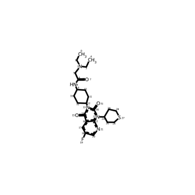 CCN(CC)CC(=O)NC1CCC(n2c(=O)c3cc(F)cnc3n(C3CCSCC3)c2=O)CC1